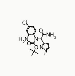 Cn1ccc(C(C(N)=O)N(C(=O)OC(C)(C)C)c2ccc(Cl)cc2N)n1